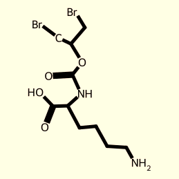 NCCCCC(NC(=O)OC(CBr)CBr)C(=O)O